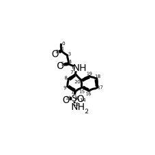 CC(=O)CC(=O)Nc1ccc(S(N)(=O)=O)c2ccccc12